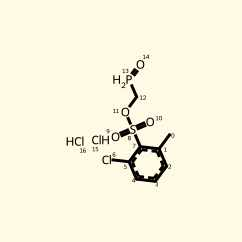 Cc1cccc(Cl)c1S(=O)(=O)OC[PH2]=O.Cl.Cl